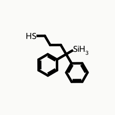 [SiH3]C(CCCS)(c1ccccc1)c1ccccc1